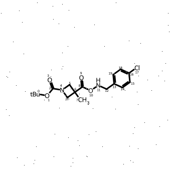 CC(C)(C)OC(=O)N1CC(C)(C(=O)ONCc2ccc(Cl)cc2)C1